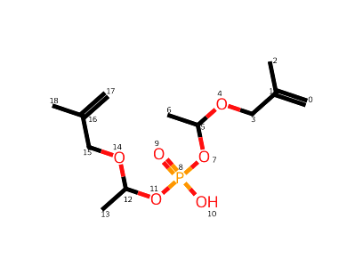 C=C(C)COC(C)OP(=O)(O)OC(C)OCC(=C)C